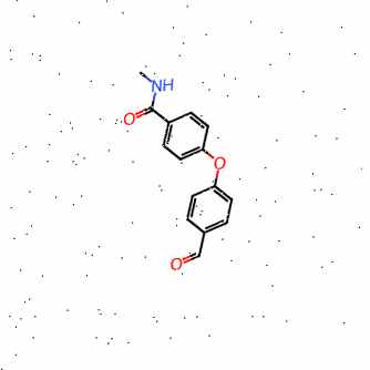 CNC(=O)c1ccc(Oc2ccc(C=O)cc2)cc1